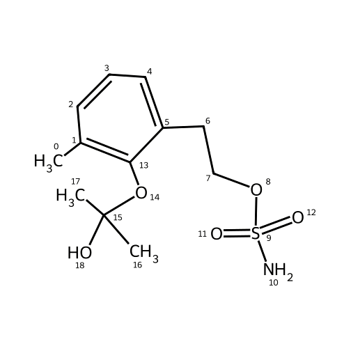 Cc1cccc(CCOS(N)(=O)=O)c1OC(C)(C)O